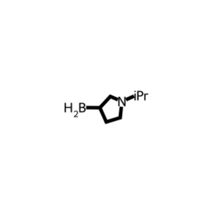 BC1CCN(C(C)C)C1